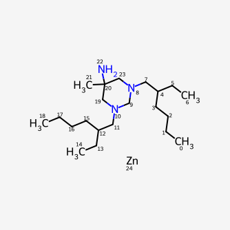 CCCCC(CC)CN1CN(CC(CC)CCCC)CC(C)(N)C1.[Zn]